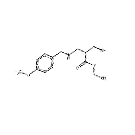 CCOC(=O)C(CO)CNCc1ccc(OC)cc1